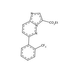 CCOC(=O)c1cnc2ccc(-c3ccccc3C(F)(F)F)nn12